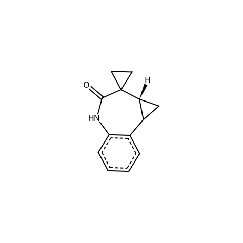 O=C1Nc2ccccc2C2C[C@H]2C12CC2